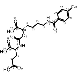 O=C(O)CC[C@H](NC(=O)O[C@@H](CCCCNC(=O)c1ccc(F)cc1)C(=O)O)C(=O)O